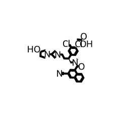 CC(=O)O.CN(C[C@@H](CCN1CC(N2CCC(O)C2)C1)c1ccc(Cl)c(Cl)c1)C(=O)c1cc(C#N)cc2ccccc12